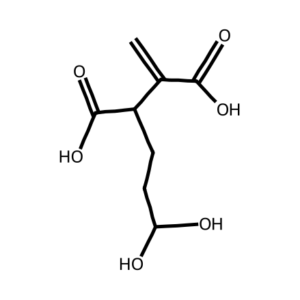 C=C(C(=O)O)C(CCC(O)O)C(=O)O